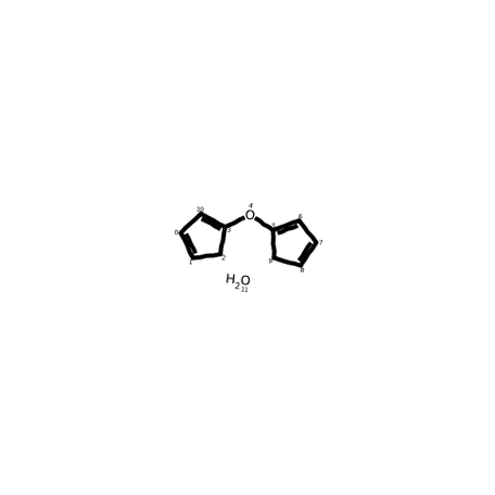 C1=CCC(OC2=CC=CC2)=C1.O